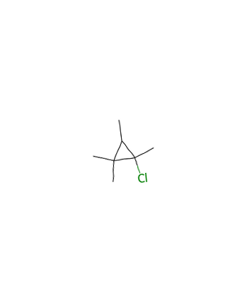 CC1C(C)(C)C1(C)Cl